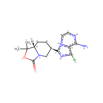 CC1(C)OC(=O)N2C[C@H](c3nc(Br)c4c(N)nccn34)CC[C@H]21